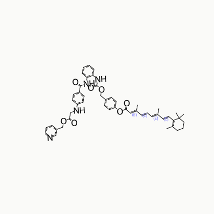 CC1=C(/C=C/C(C)=C/C=C/C(C)=C/C(=O)Oc2ccc(COC(=O)Nc3ccccc3NC(=O)c3ccc(NCC(=O)OCc4cccnc4)cc3)cc2)C(C)(C)CCC1